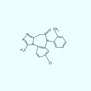 Cc1ccccc1N1C(=O)Cc2nnc(C)n2-c2ccc(Cl)cc21